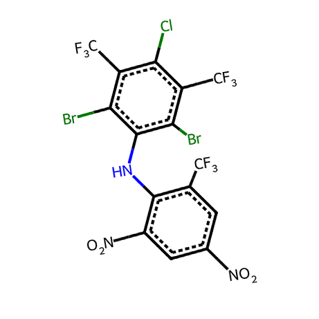 O=[N+]([O-])c1cc([N+](=O)[O-])c(Nc2c(Br)c(C(F)(F)F)c(Cl)c(C(F)(F)F)c2Br)c(C(F)(F)F)c1